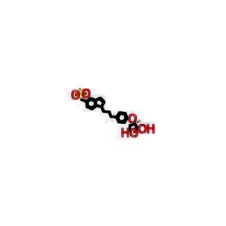 CC[C@@](C)(Oc1ccc(CCCC2C=Cc3cc(CS(C)(=O)=O)ccc32)cc1)C(O)O